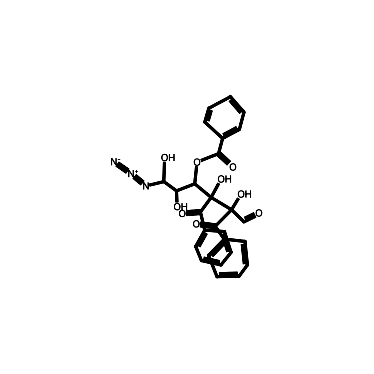 [N-]=[N+]=NC(O)C(O)C(OC(=O)c1ccccc1)C(O)(C(=O)c1ccccc1)C(O)(C=O)C(=O)c1ccccc1